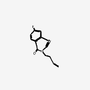 C=CCCn1cnc2cc(F)ccc2c1=O